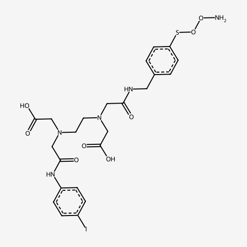 NOOSc1ccc(CNC(=O)CN(CCN(CC(=O)O)CC(=O)Nc2ccc(I)cc2)CC(=O)O)cc1